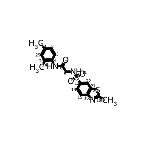 Cc1ccc(NC(=O)CNS(=O)(=O)c2ccc3nc(C)sc3c2)c(C)c1